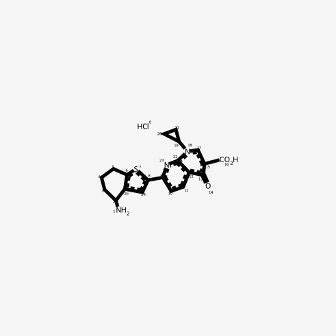 Cl.NC1CCCc2sc(-c3ccc4c(=O)c(C(=O)O)cn(C5CC5)c4n3)cc21